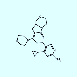 Nc1cc(C2CC2)c(-c2nc(N3CCOCC3)c3c(n2)N2CCOCC2C3)cn1